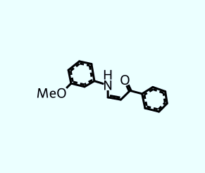 COc1cccc(N/C=C\C(=O)c2ccccc2)c1